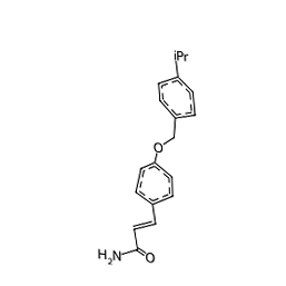 CC(C)c1ccc(COc2ccc(C=CC(N)=O)cc2)cc1